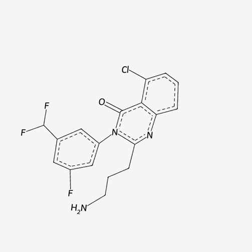 NCCCc1nc2cccc(Cl)c2c(=O)n1-c1cc(F)cc(C(F)F)c1